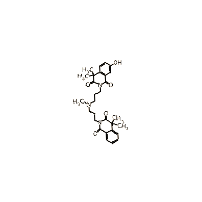 CN(CCCN1C(=O)c2ccccc2C(C)(C)C1=O)CCCN1C(=O)c2cc(O)ccc2C(C)(C)C1=O